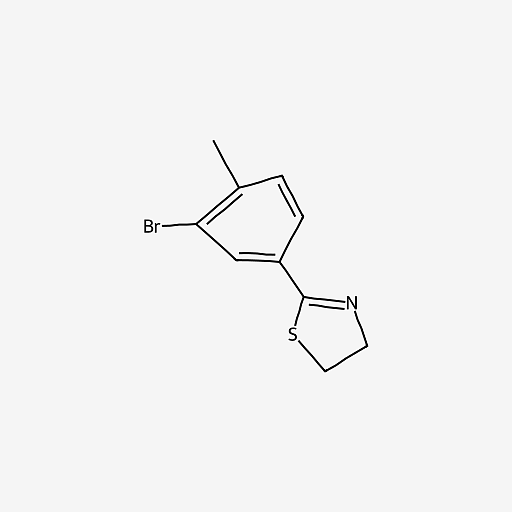 Cc1ccc(C2=NCCS2)cc1Br